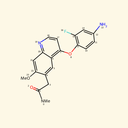 CNC(=O)Cc1cc2c(Oc3ccc(N)cc3F)ccnc2cc1OC